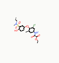 CCCN(C)S(=O)(=O)c1cc(Oc2c(C)cc(NC(=O)C(=O)OCC)cc2Cl)ccc1O